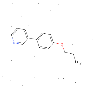 [CH2]CCOc1ccc(-c2cccnc2)cc1